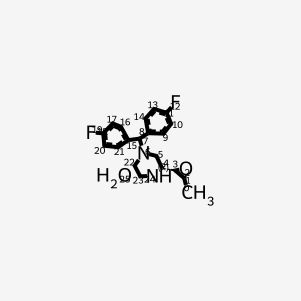 CC1OC1[C@H]1CN(C(c2ccc(F)cc2)c2ccc(F)cc2)CCN1.O